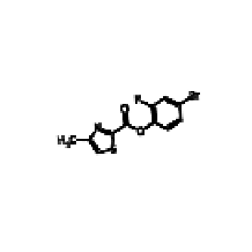 Cc1csc(C(=O)Oc2ccc(Br)cc2F)n1